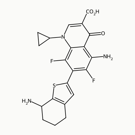 Nc1c(F)c(-c2cc3c(s2)C(N)CCC3)c(F)c2c1c(=O)c(C(=O)O)cn2C1CC1